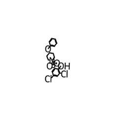 O=S(=O)(c1cc(Cl)cc(Cl)c1O)N1CCC(Oc2ccccc2)CC1